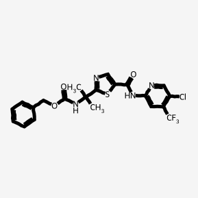 CC(C)(NC(=O)OCc1ccccc1)c1ncc(C(=O)Nc2cc(C(F)(F)F)c(Cl)cn2)s1